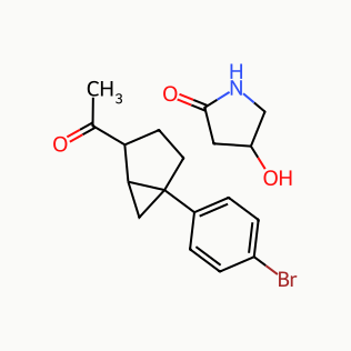 CC(=O)C1CCC2(c3ccc(Br)cc3)CC12.O=C1CC(O)CN1